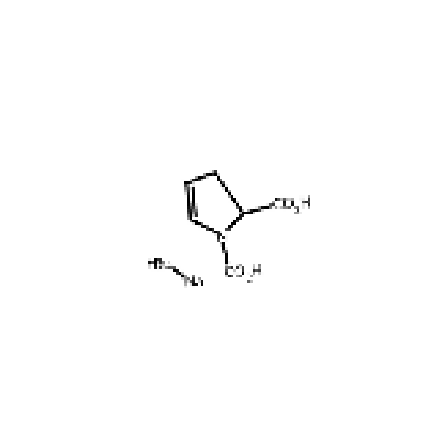 C[C](C)(C)[Na].O=C(O)C1CC=CN1C(=O)O